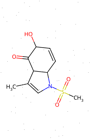 CC1=CN(S(C)(=O)=O)C2C=CC(O)C(=O)C12